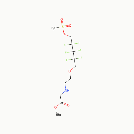 CC(C)(C)OC(=O)CNCCOCC(F)(F)C(F)(F)C(F)(F)COS(=O)(=O)C(F)(F)F